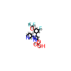 O=C(O)Oc1cc(-c2cc(F)cc(OC(F)F)c2)n(-c2cccnc2)n1